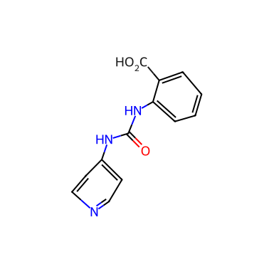 O=C(Nc1ccncc1)Nc1ccccc1C(=O)O